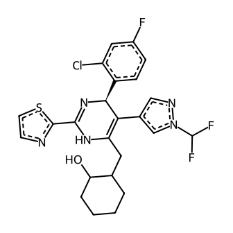 OC1CCCCC1CC1=C(c2cnn(C(F)F)c2)[C@H](c2ccc(F)cc2Cl)N=C(c2nccs2)N1